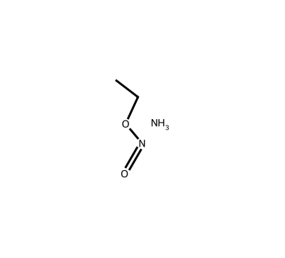 CCON=O.N